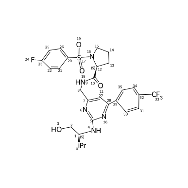 CC(C)[C@@H](CO)Nc1nc(CNC(=O)[C@@H]2CCCN2S(=O)(=O)c2ccc(F)cc2)cc(-c2ccc(C(F)(F)F)cc2)n1